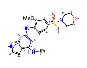 COc1cc(S(=O)(=O)N2CCOCC2)ccc1Nc1nc(NC(C)C)c2cc[nH]c2n1